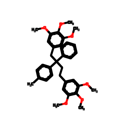 COc1cc(CCC(Cc2cc(OC)c(OC)c(OC)c2)(c2ccccc2)c2ccc(C)cc2)cc(OC)c1OC